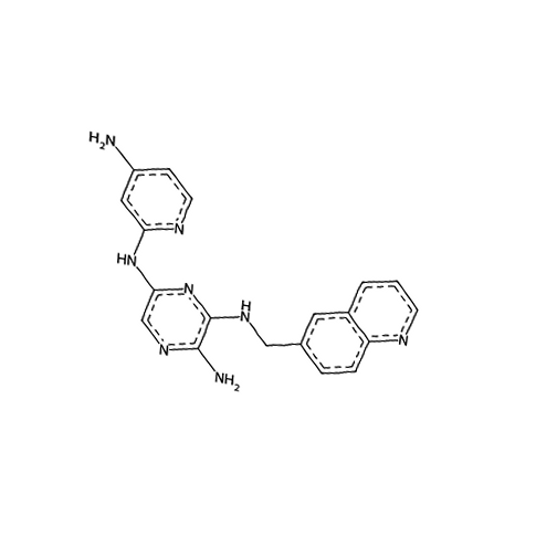 Nc1ccnc(Nc2cnc(N)c(NCc3ccc4ncccc4c3)n2)c1